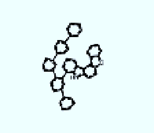 c1ccc(-c2ccc(-c3cccc(-c4ccc(-c5ccccc5)cc4-c4cccc5c4[nH]c4ccc6oc7ccccc7c6c45)c3)cc2)cc1